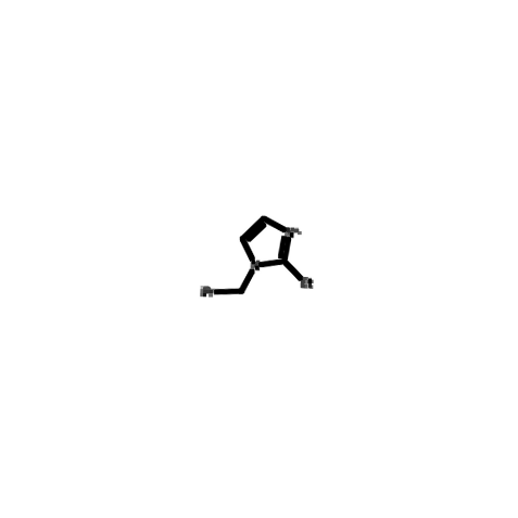 CCC1=[N+]C=CN1CC(C)C